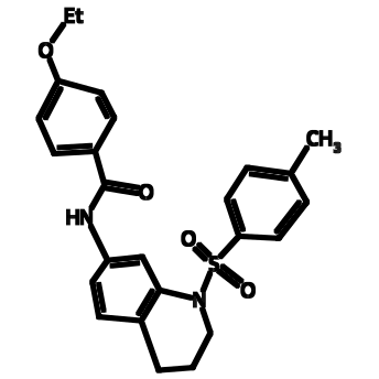 CCOc1ccc(C(=O)Nc2ccc3c(c2)N(S(=O)(=O)c2ccc(C)cc2)CCC3)cc1